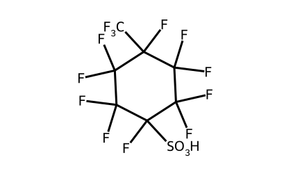 O=S(=O)(O)C1(F)C(F)(F)C(F)(F)C(F)(C(F)(F)F)C(F)(F)C1(F)F